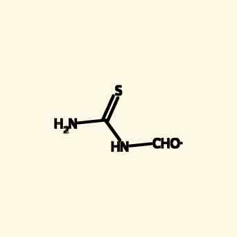 NC(=S)N[C]=O